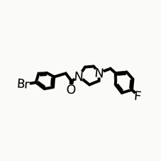 O=C(Cc1ccc(Br)cc1)N1CCN(Cc2ccc(F)cc2)CC1